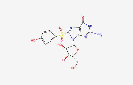 Nc1nc2c(nc(S(=O)(=O)c3ccc(O)cc3)n2[C@@H]2O[C@H](CO)[C@@H](O)[C@H]2O)c(=O)[nH]1